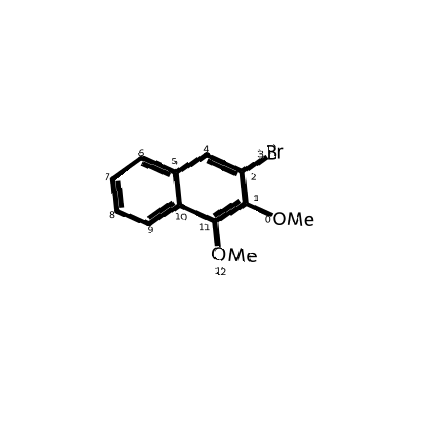 COc1c(Br)cc2ccccc2c1OC